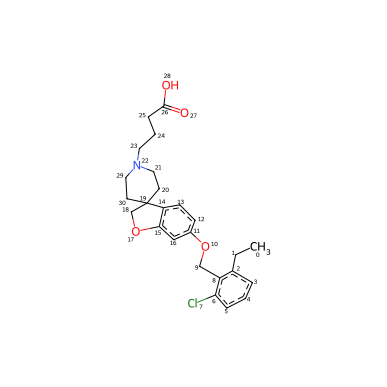 CCc1cccc(Cl)c1COc1ccc2c(c1)OCC21CCN(CCCC(=O)O)CC1